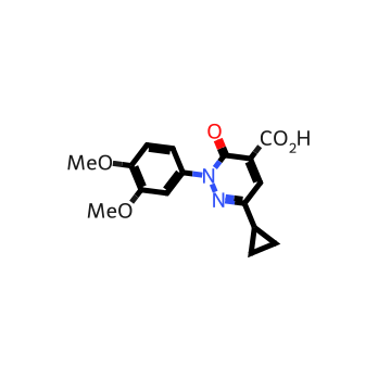 COc1ccc(-n2nc(C3CC3)cc(C(=O)O)c2=O)cc1OC